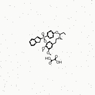 CCC(Oc1ccc(S(=O)(=O)C2=Cc3ccccc3C2)cc1)N(C)CCc1ccc(OC)c(OC)c1.O=C(O)C(=O)O